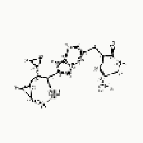 O=C(O)NC(c1cn2nc(CC3C[C@@H](C(F)(F)F)CNC3=O)ccc2n1)C(C1CC1)C1CC1